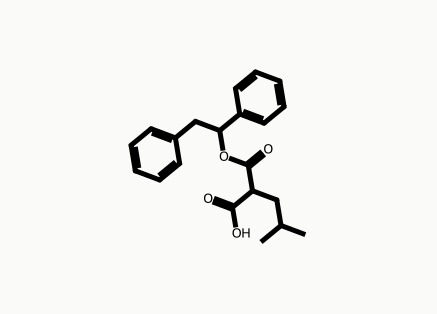 CC(C)CC(C(=O)O)C(=O)OC(Cc1ccccc1)c1ccccc1